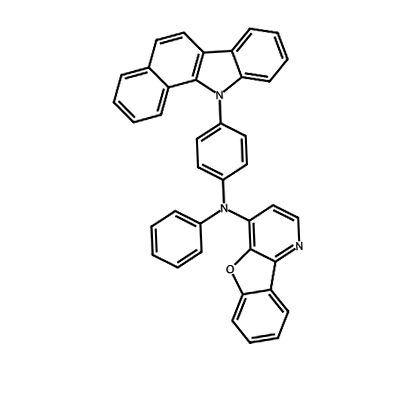 c1ccc(N(c2ccc(-n3c4ccccc4c4ccc5ccccc5c43)cc2)c2ccnc3c2oc2ccccc23)cc1